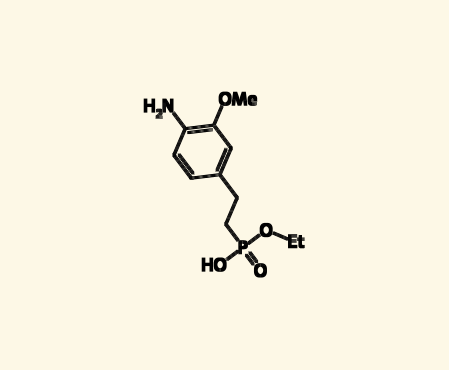 CCOP(=O)(O)CCc1ccc(N)c(OC)c1